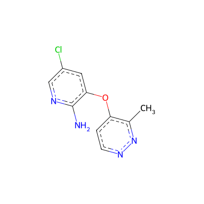 Cc1nnccc1Oc1cc(Cl)cnc1N